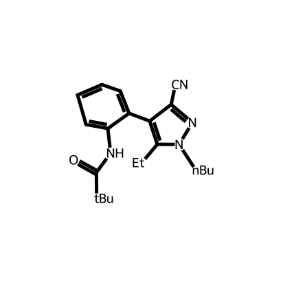 CCCCn1nc(C#N)c(-c2ccccc2NC(=O)C(C)(C)C)c1CC